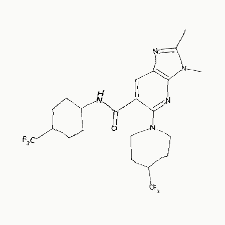 Cc1nc2cc(C(=O)NC3CCC(C(F)(F)F)CC3)c(N3CCC(C(F)(F)F)CC3)nc2n1C